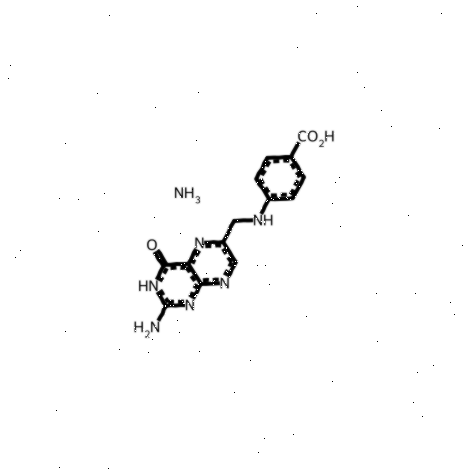 N.Nc1nc2ncc(CNc3ccc(C(=O)O)cc3)nc2c(=O)[nH]1